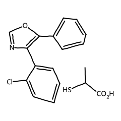 CC(S)C(=O)O.Clc1ccccc1-c1ncoc1-c1ccccc1